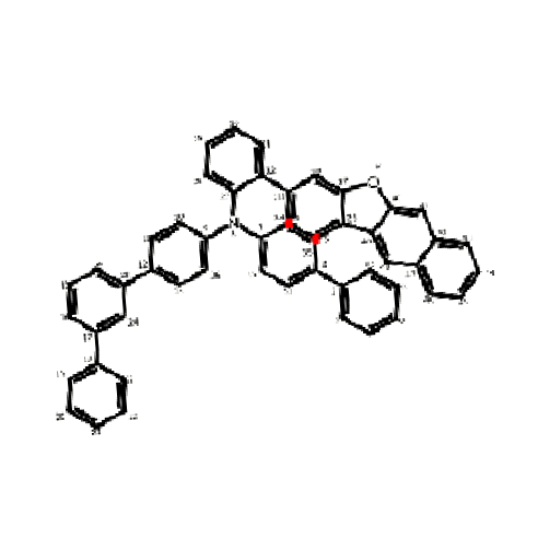 c1ccc(-c2ccc(N(c3ccc(-c4cccc(-c5ccccc5)c4)cc3)c3ccccc3-c3ccc4c(c3)oc3cc5ccccc5cc34)cc2)cc1